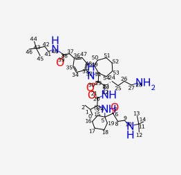 CC(C)[C@H](NC1(C(=O)CCNC(C)(C)C)CCCCC1)C(=O)N[C@@H](CCCCN)C(=O)C1(Nc2ccc(CC(=O)NCCC(C)(C)C)cc2)CCCCCC1